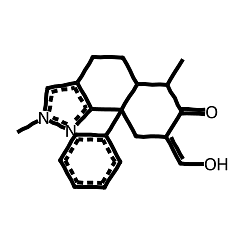 CC1C(=O)C(=CO)CC2(c3ccccc3)c3nn(C)cc3CCC12